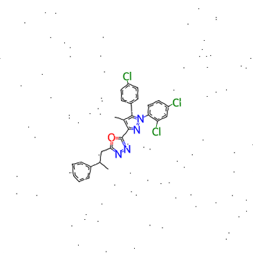 Cc1c(-c2nnc(CC(C)c3ccccc3)o2)nn(-c2ccc(Cl)cc2Cl)c1-c1ccc(Cl)cc1